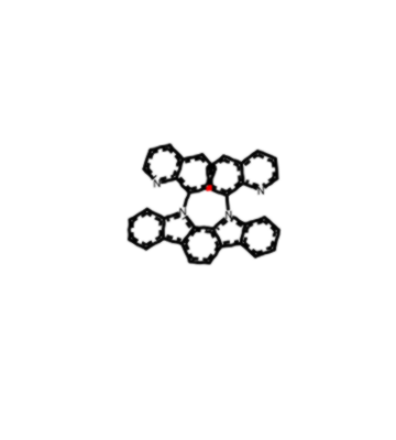 c1cnc2c(-n3c4ccccc4c4ccc5c6ccccc6n(-c6cccc7cccnc67)c5c43)cccc2c1